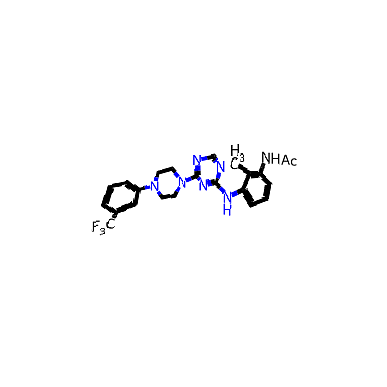 CC(=O)Nc1cccc(Nc2ncnc(N3CCN(c4cccc(C(F)(F)F)c4)CC3)n2)c1C